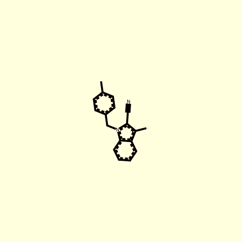 [CH2]c1c(C#N)n(Cc2ccc(C)cc2)c2ccccc12